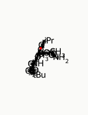 CC(C)CCOCCOCC(COCCCNC(=O)CCN1C(=O)CC(C(C)(C)C)C1=O)OCCOCCC(C)(C)OCN